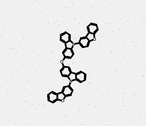 c1ccc2c(c1)oc1ccc(-n3c4ccccc4c4cc(Oc5ccc6c(c5)c5ccccc5n6-c5ccc6oc7ccccc7c6c5)ccc43)cc12